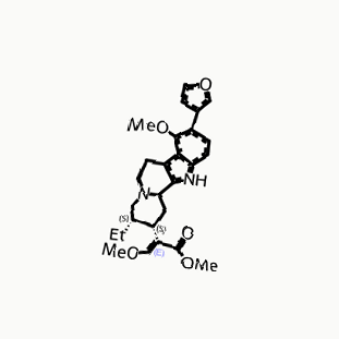 CC[C@@H]1CN2CCc3c([nH]c4ccc(-c5ccoc5)c(OC)c34)C2C[C@@H]1/C(=C\OC)C(=O)OC